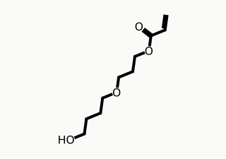 C=CC(=O)OCCCOCCCCO